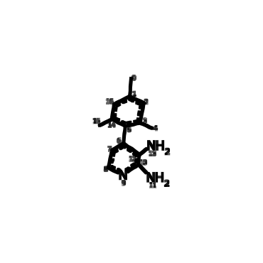 Cc1cc(C)c(-c2ccnc(N)c2N)c(C)c1